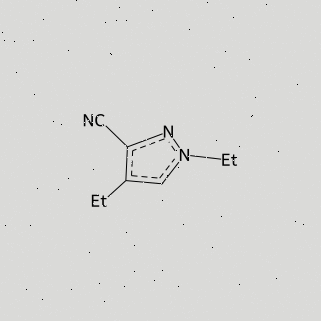 CCc1cn(CC)nc1C#N